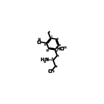 Cc1ccc(C[C@@H](N)CCl)cc1Cl.Cl